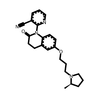 C[C@@H]1CCCN1CCCOc1ccc2c(c1)CCC(=O)N2c1ncccc1C#N